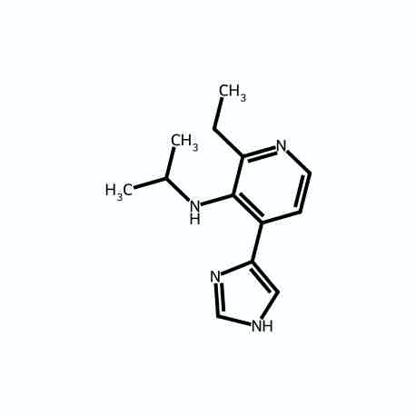 CCc1nccc(-c2c[nH]cn2)c1NC(C)C